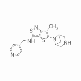 Cc1c(N2C3CNCC2C3)sc2c(NCc3ccncc3)snc12